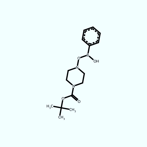 CC(C)(C)OC(=O)N1CCN(OB(O)c2ccccc2)CC1